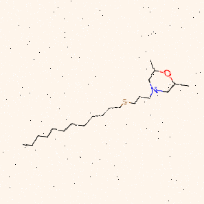 CCCCCCCCCCCCSCCCN1CC(C)OC(C)C1